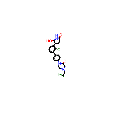 O=C1CCC(c2cccc(-c3ccc(N4CCN(CC(F)F)CC4=O)cc3)c2Cl)C(O)N1